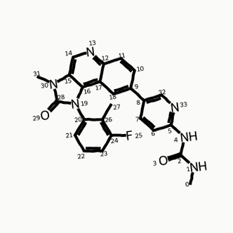 CNC(=O)Nc1ccc(-c2ccc3ncc4c(c3c2)n(-c2cccc(F)c2C)c(=O)n4C)cn1